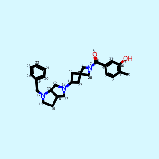 Cc1ccc(C(=O)N2CC3(CC(N4CC5CCN(Cc6ccccc6)C5C4)C3)C2)cc1O